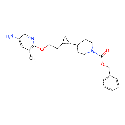 Cc1cc(N)cnc1OCCC1CC1C1CCN(C(=O)OCc2ccccc2)CC1